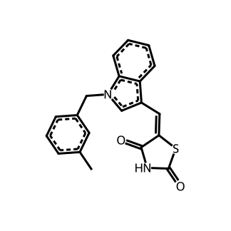 Cc1cccc(Cn2cc(C=C3SC(=O)NC3=O)c3ccccc32)c1